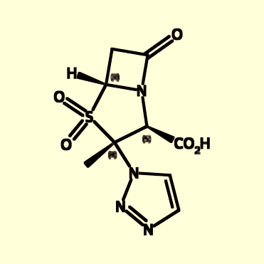 C[C@]1(n2ccnn2)[C@H](C(=O)O)N2C(=O)C[C@H]2S1(=O)=O